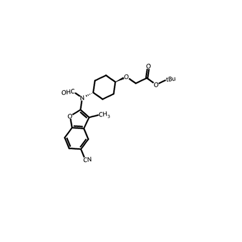 Cc1c(N(C=O)[C@H]2CC[C@H](OCC(=O)OC(C)(C)C)CC2)oc2ccc(C#N)cc12